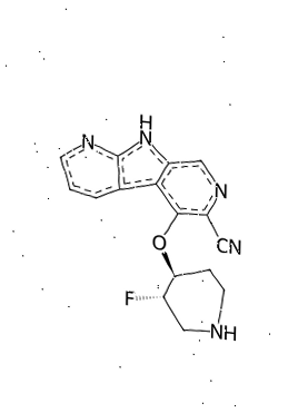 N#Cc1ncc2[nH]c3ncccc3c2c1O[C@H]1CCNC[C@@H]1F